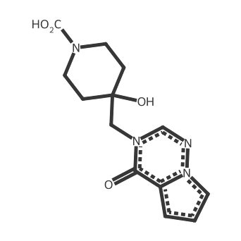 O=C(O)N1CCC(O)(Cn2cnn3cccc3c2=O)CC1